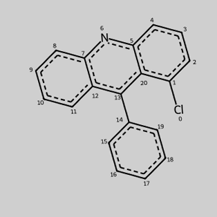 Clc1cccc2nc3ccccc3c(-c3ccccc3)c12